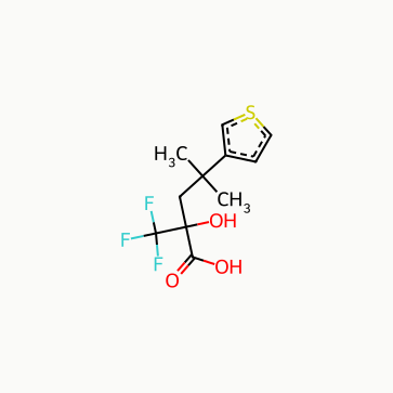 CC(C)(CC(O)(C(=O)O)C(F)(F)F)c1ccsc1